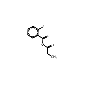 CCC(=O)OC(=O)c1ccccc1F